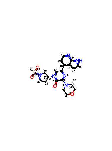 C[C@@H]1COCCN1c1nc(-c2ccnc3[nH]ccc23)cn([C@@H]2CCN(S(C)(=O)=O)C2)c1=O